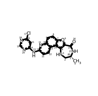 C[C@@H]1CNc2c(oc3ccc4nc(Nc5cc(Cl)ncn5)ccc4c23)C(=O)N1